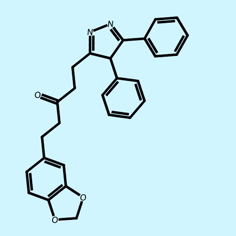 O=C(CCC1=NN=C(c2ccccc2)C1c1ccccc1)CCc1ccc2c(c1)OCO2